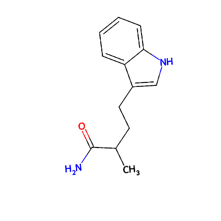 CC(CCc1c[nH]c2ccccc12)C(N)=O